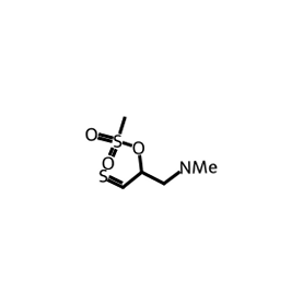 CNCC(C=S)OS(C)(=O)=O